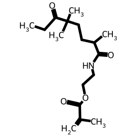 C=C(C)C(=O)OCCNC(=O)C(C)CCC(C)(C)C(=O)CC